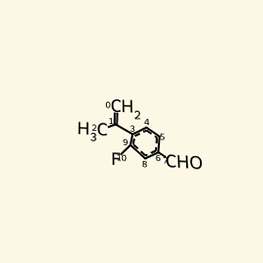 C=C(C)c1ccc(C=O)cc1F